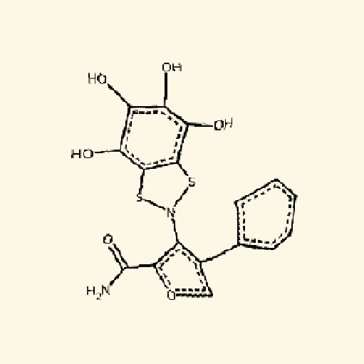 NC(=O)c1occ(-c2ccccc2)c1N1Sc2c(O)c(O)c(O)c(O)c2S1